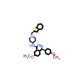 COc1ccc(-c2nnc(NC3CCN(Cc4cc5ccccc5s4)CC3)c3cc(OC)ccc23)cc1